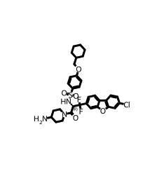 NC1CCN(C(=O)[C@@H](NS(=O)(=O)c2ccc(OCC3CCCCC3)cc2)C(F)(F)c2ccc3c(c2)oc2cc(Cl)ccc23)CC1